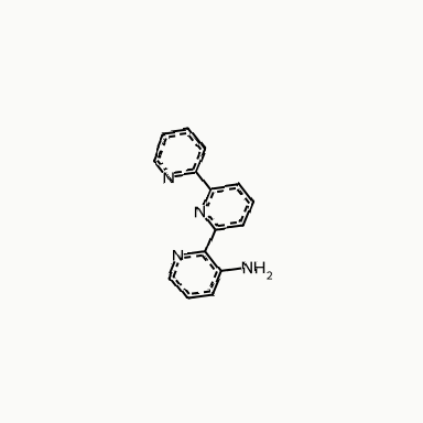 Nc1cccnc1-c1cccc(-c2ccccn2)n1